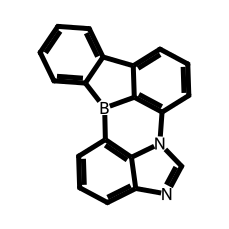 c1ccc2c(c1)B1c3c-2cccc3-n2cnc3cccc1c32